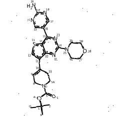 CC(C)(C)OC(=O)N1CC=C(c2csc3c(-c4cnc(N)nc4)nc(N4CCOCC4)nc23)CC1